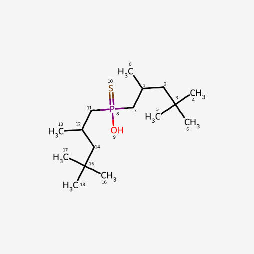 CC(CC(C)(C)C)CP(O)(=S)CC(C)CC(C)(C)C